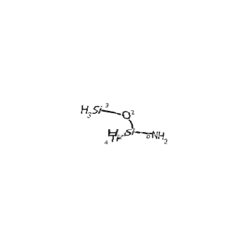 N[SiH2]O[SiH3].[Ti]